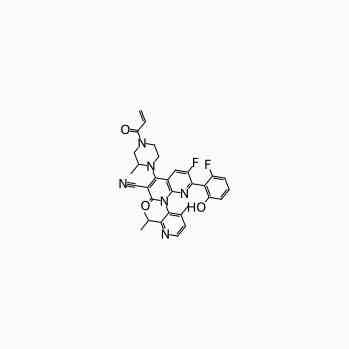 C=CC(=O)N1CCN(c2c(C#N)c(=O)n(-c3c(C)ccnc3C(C)C)c3nc(-c4c(O)cccc4F)c(F)cc23)C(C)C1